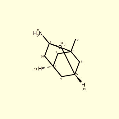 CC12C[C@H]3C[C@@H](C1)CC(N)(C3)O2